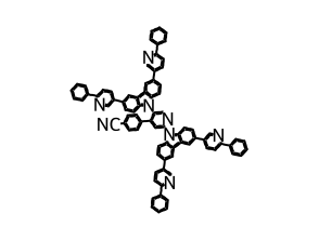 N#Cc1ccc(-c2cc(-n3c4ccc(-c5ccc(-c6ccccc6)nc5)cc4c4cc(-c5ccc(-c6ccccc6)nc5)ccc43)ncc2-n2c3ccc(-c4ccc(-c5ccccc5)nc4)cc3c3cc(-c4ccc(-c5ccccc5)nc4)ccc32)cc1